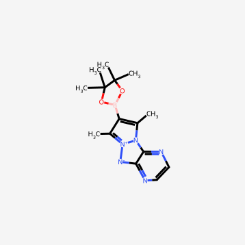 Cc1c(B2OC(C)(C)C(C)(C)O2)c(C)[n+]2[n-]c3nccnc3n12